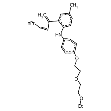 C=C(/C=C\CCC)c1cc(C)ccc1Nc1ccc(OCCOCCOCC)cc1